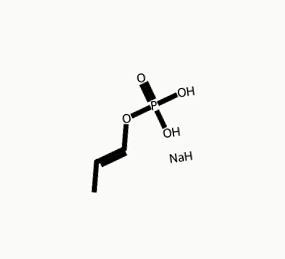 CC=COP(=O)(O)O.[NaH]